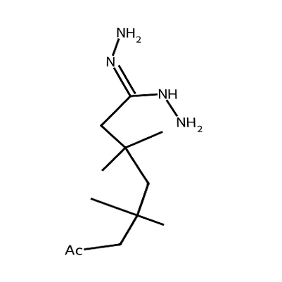 CC(=O)CC(C)(C)CC(C)(C)C/C(=N/N)NN